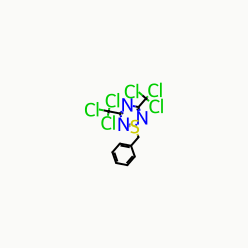 ClC(Cl)(Cl)C1=NC(C(Cl)(Cl)Cl)=NS(Cc2ccccc2)=N1